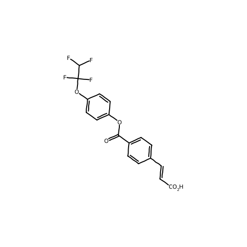 O=C(O)/C=C/c1ccc(C(=O)Oc2ccc(OC(F)(F)C(F)F)cc2)cc1